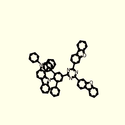 c1ccc(-c2cc(-c3nc(-c4ccc5c(c4)oc4ccccc45)nc(-c4ccc5c(c4)oc4ccccc45)n3)cc(-c3ccccc3)c2-n2c3ccccc3c3ccc4c(c5ccccc5n4-c4ccccc4)c32)cc1